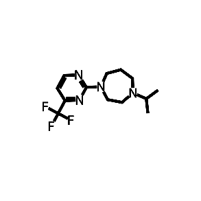 CC(C)N1CCCN(c2nccc(C(F)(F)F)n2)CC1